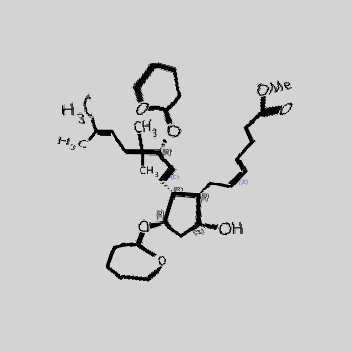 COC(=O)CCC/C=C\C[C@@H]1[C@@H](/C=C/[C@@H](OC2CCCCO2)C(C)(C)CC=C(C)C)[C@H](OC2CCCCO2)C[C@@H]1O